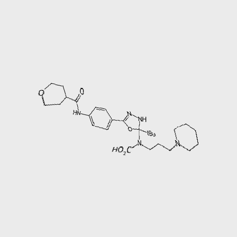 CC(C)(C)C1(N(CCCN2CCCCC2)C(=O)O)NN=C(c2ccc(NC(=O)C3CCOCC3)cc2)O1